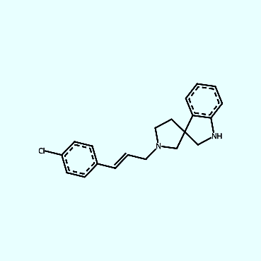 Clc1ccc(/C=C/CN2CCC3(CNc4ccccc43)C2)cc1